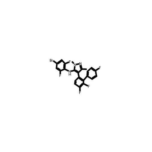 Cc1nn(C)c(Nc2c(F)cc(Br)cc2F)c1-c1ccc(F)c(F)c1-c1ccc(F)cc1